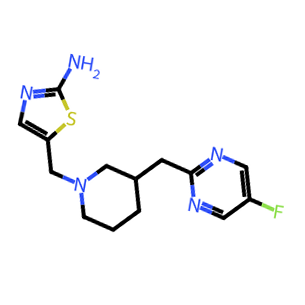 Nc1ncc(CN2CCCC(Cc3ncc(F)cn3)C2)s1